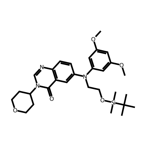 COc1cc(OC)cc(N(CCO[Si](C)(C)C(C)(C)C)c2ccc3ncn(C4CCOCC4)c(=O)c3c2)c1